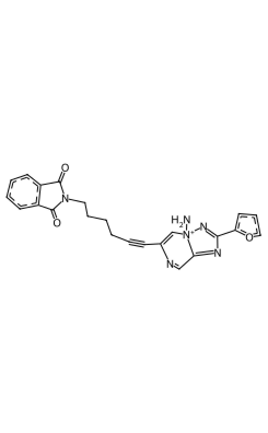 N[N+]12C=C(C#CCCCCN3C(=O)c4ccccc4C3=O)N=CC1=NC(c1ccco1)=N2